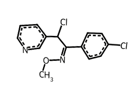 CON=C(c1ccc(Cl)cc1)C(Cl)c1cccnc1